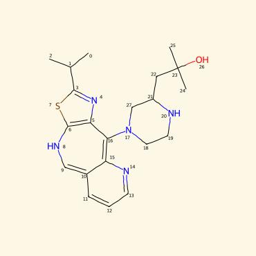 CC(C)c1nc2c(s1)NC=c1cccnc1=C2N1CCNC(CC(C)(C)O)C1